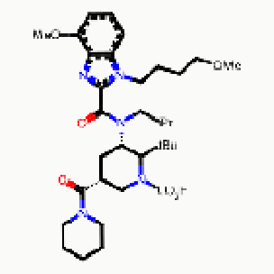 COCCCCn1c(C(=O)N(CC(C)C)[C@H]2C[C@@H](C(=O)N3CCCCC3)CN(C(=O)O)C2C(C)(C)C)nc2c(OC)cccc21